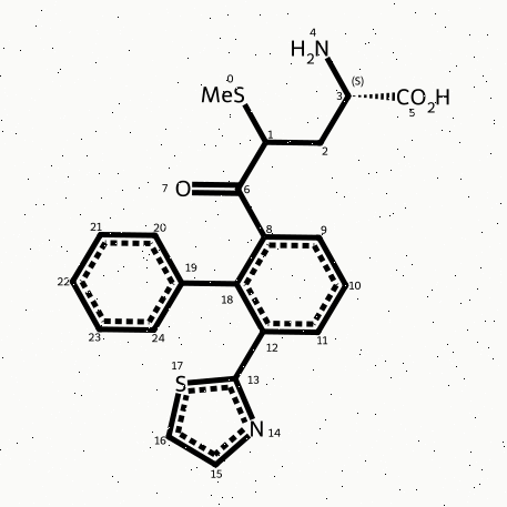 CSC(C[C@H](N)C(=O)O)C(=O)c1cccc(-c2nccs2)c1-c1ccccc1